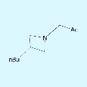 CCCCC1CN(CC(C)=O)C1